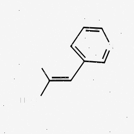 O=C(O)C(F)=Cc1cccnc1